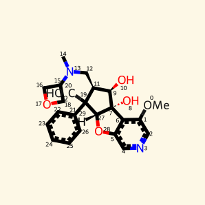 COc1cncc2c1[C@]1(O)[C@H](O)[C@H](CN(C)C3COC3)C(C(=O)O)(c3ccccc3)[C@H]1O2